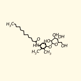 CCCCCCCCCCCC(=O)Nc1ccc(O[C@@H]2OC(CO)[C@@H](O)[C@H](O)C2O)c(C)c1C